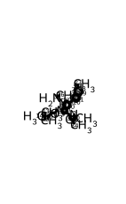 Cc1nc(-c2cn(COCC[Si](C)(C)C)c3ncc(-c4ccc5c(c4)CN(C)CC5)cc23)oc1C.NC=O